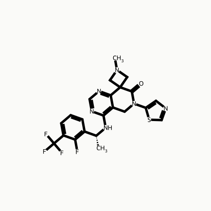 C[C@@H](Nc1ncnc2c1CN(c1cncs1)C(=O)C21CN(C)C1)c1cccc(C(F)(F)F)c1F